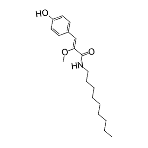 CCCCCCCCCNC(=O)C(=Cc1ccc(O)cc1)OC